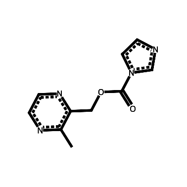 Cc1nccnc1COC(=O)n1ccnc1